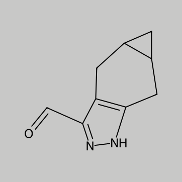 O=Cc1n[nH]c2c1CC1CC1C2